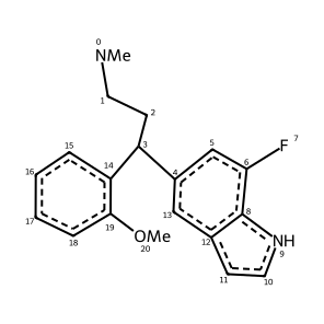 CNCCC(c1cc(F)c2[nH]ccc2c1)c1ccccc1OC